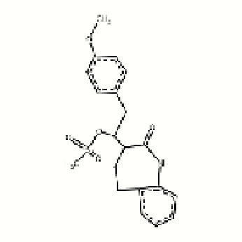 COc1ccc(CC(OS(C)(=O)=O)C2CCc3ccccc3NC2=O)cc1